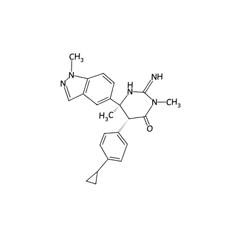 CN1C(=N)N[C@](C)(c2ccc3c(cnn3C)c2)[C@@H](c2ccc(C3CC3)cc2)C1=O